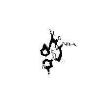 CCC(C(=O)NC(=N)/C=C\Nc1ccnc(F)c1)c1ccccc1